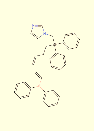 C=CB(c1ccccc1)c1ccccc1.C=CCC[Si](Cn1ccnc1)(c1ccccc1)c1ccccc1